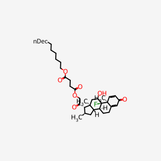 CCCCCCCCCCCCCCCCOC(=O)CCC(=O)OCC(=O)[C@H]1[C@H](C)C[C@H]2[C@@H]3CCC4=CC(=O)C=C[C@]4(C)[C@@]3(F)[C@@H](O)C[C@@]21C